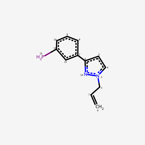 C=CCn1ccc(-c2cccc(P)c2)n1